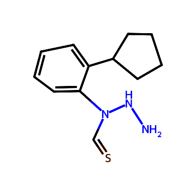 NNN(C=S)c1ccccc1C1CCCC1